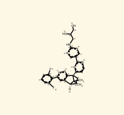 CC1(C)[C@H]2CC[C@@]1(c1ccnc(-c3cnc(NCC(O)CO)nc3)n1)c1nnc(-c3c(F)cccc3F)cc12